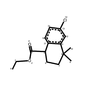 CCOC(=O)C1CCC(C)(C)c2cc(Cl)ccc21